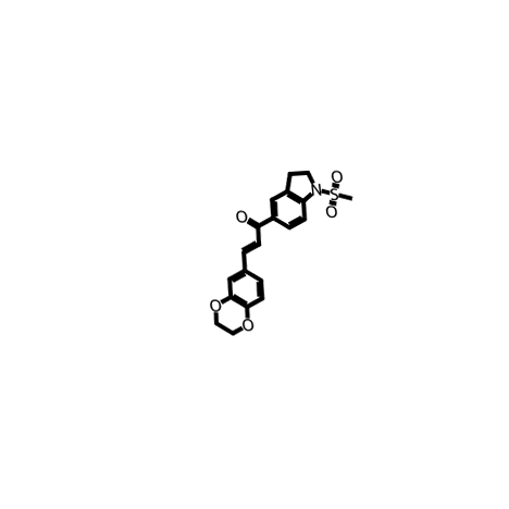 CS(=O)(=O)N1CCc2cc(C(=O)C=Cc3ccc4c(c3)OCCO4)ccc21